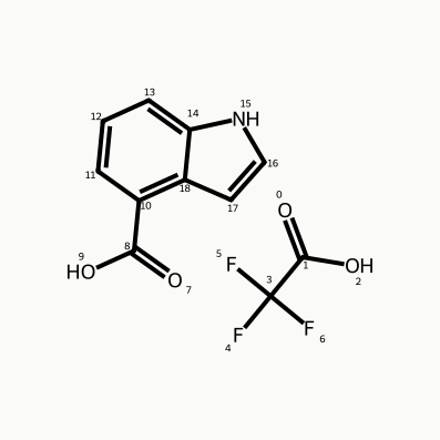 O=C(O)C(F)(F)F.O=C(O)c1cccc2[nH]ccc12